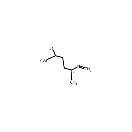 C=N[C@@H](C)CCC(CC)CCCC